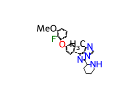 COc1cccc(Oc2ccc(-c3nc(C4CCCCN4)n4ccnc(C)c34)cc2)c1F